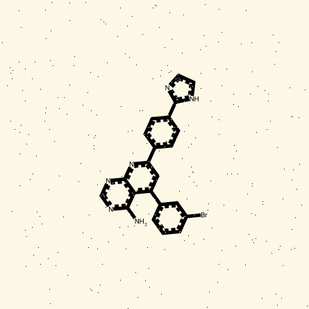 Nc1ncnc2nc(-c3ccc(-c4ncc[nH]4)cc3)cc(-c3cccc(Br)c3)c12